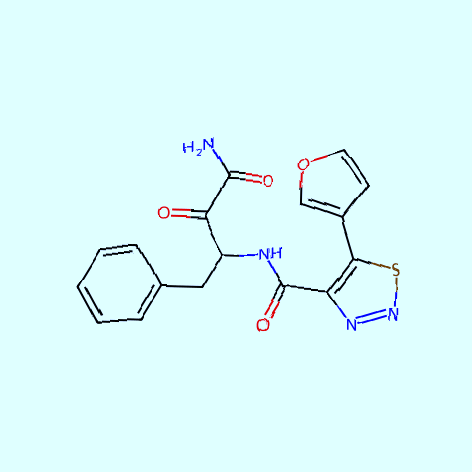 NC(=O)C(=O)C(Cc1ccccc1)NC(=O)c1nnsc1-c1ccoc1